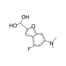 CN(C)c1cc(F)c2cc(C(O)O)oc2c1